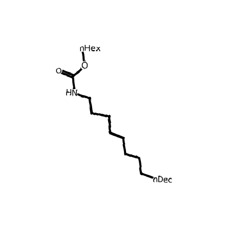 CCCCCCCCCCCCCCCCCCNC(=O)OCCCCCC